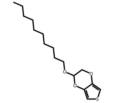 CCCCCCCCCCOC1COc2cscc2O1